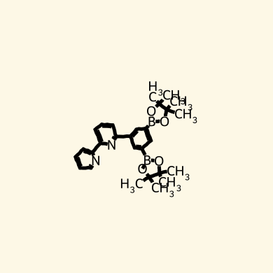 CC1(C)OB(c2cc(B3OC(C)(C)C(C)(C)O3)cc(-c3cccc(-c4ccccn4)n3)c2)OC1(C)C